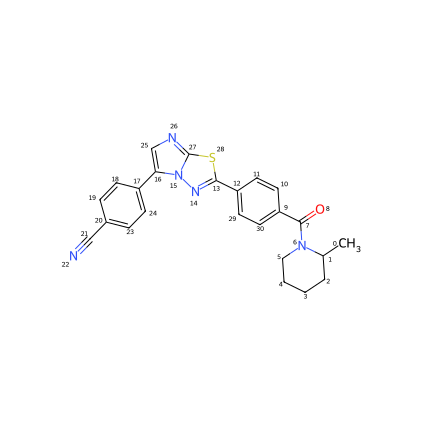 CC1CCCCN1C(=O)c1ccc(-c2nn3c(-c4ccc(C#N)cc4)cnc3s2)cc1